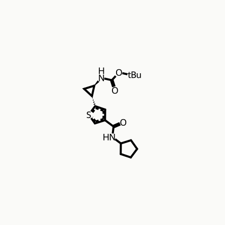 CC(C)(C)OC(=O)N[C@@H]1C[C@H]1c1cc(C(=O)NC2CCCC2)cs1